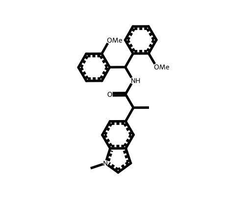 COc1ccccc1C(NC(=O)C(C)c1ccc2c(ccn2C)c1)c1ccccc1OC